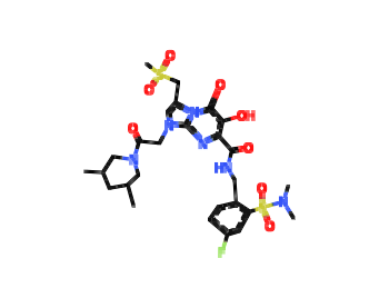 CC1CC(C)CN(C(=O)Cn2cc(CS(C)(=O)=O)n3c(=O)c(O)c(C(=O)NCc4ccc(F)cc4S(=O)(=O)N(C)C)nc23)C1